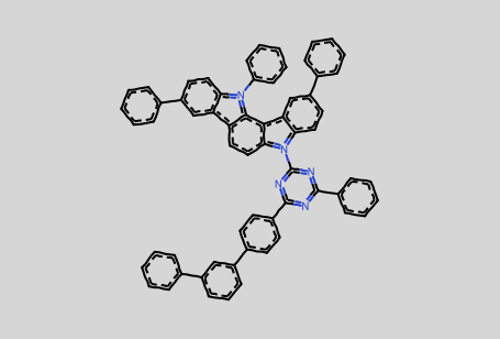 c1ccc(-c2cccc(-c3ccc(-c4nc(-c5ccccc5)nc(-n5c6ccc(-c7ccccc7)cc6c6c5ccc5c7cc(-c8ccccc8)ccc7n(-c7ccccc7)c56)n4)cc3)c2)cc1